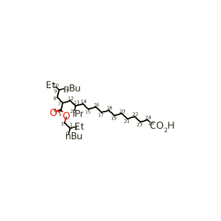 CCCCC(CC)COC(=O)C(CC(CC)CCCC)CC(CCCCCCCCCCCC(=O)O)C(C)C